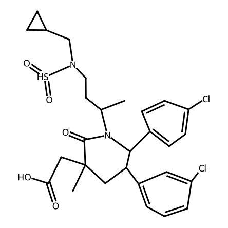 CC(CCN(CC1CC1)[SH](=O)=O)N1C(=O)C(C)(CC(=O)O)CC(c2cccc(Cl)c2)C1c1ccc(Cl)cc1